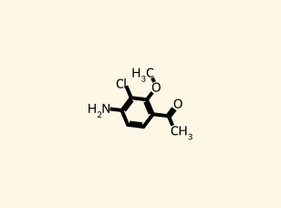 COc1c(C(C)=O)ccc(N)c1Cl